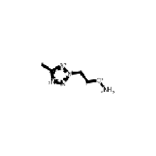 Cc1nnn(CCON)n1